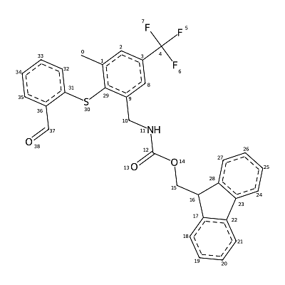 Cc1cc(C(F)(F)F)cc(CNC(=O)OCC2c3ccccc3-c3ccccc32)c1Sc1ccccc1C=O